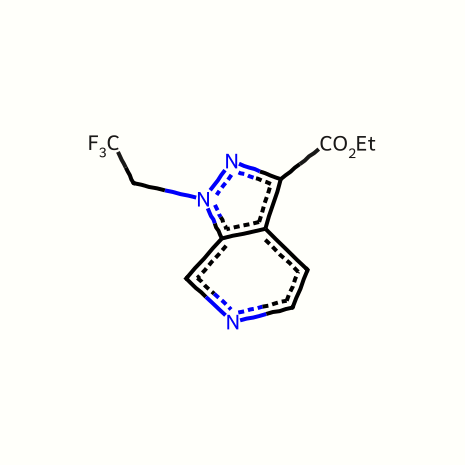 CCOC(=O)c1nn(CC(F)(F)F)c2cnccc12